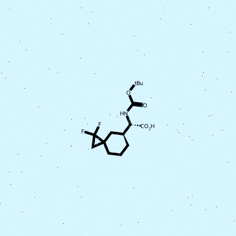 CC(C)(C)OC(=O)N[C@H](C(=O)O)[C@H]1CCCC2(C1)CC2(F)F